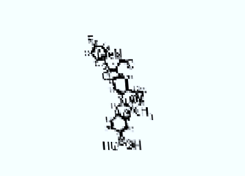 CNC(=O)c1c(-c2ccc(F)cc2)oc2cc(N(Cc3ccc(B(O)O)cc3)S(C)(=O)=O)c(C3CC3)cc12